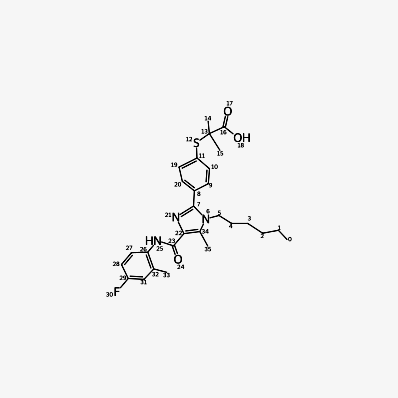 CCCCCCn1c(-c2ccc(SC(C)(C)C(=O)O)cc2)nc(C(=O)Nc2ccc(F)cc2C)c1C